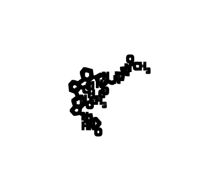 COc1nc(-c2cccc(-c3cccc(-c4cc5c(c(OC)n4)[C@@H](N4CC6(CCC(=O)N6)C4)CC5)c3Cl)c2Cl)cnc1CN1CC2(C1)CN(C(C)=O)C2